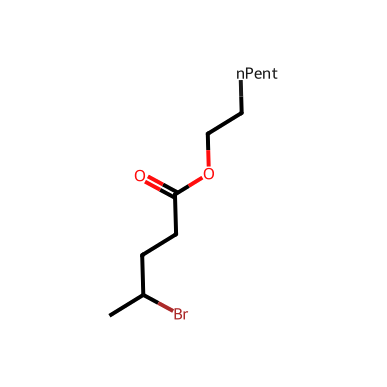 CCCCCCCOC(=O)CCC(C)Br